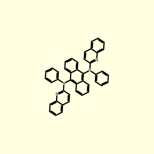 c1ccc(N(c2ccc3ccccc3n2)c2c3ccccc3c(N(c3ccccc3)c3ccc4ccccc4n3)c3ccccc23)cc1